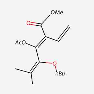 C=C/C(C(=O)OC)=C(/OC(C)=O)C(OCCCC)=C(C)C